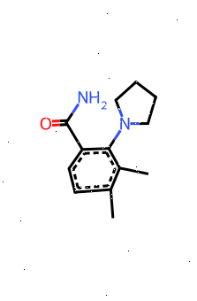 Cc1ccc(C(N)=O)c(N2CCCC2)c1C